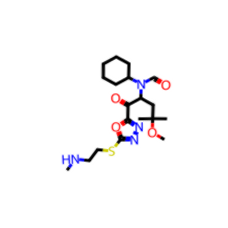 CNCCSc1nnc(C(=O)C(CC(C)(C)OC)N(C=O)C2CCCCC2)o1